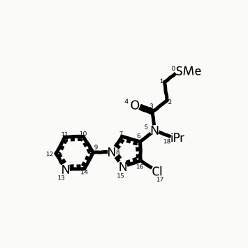 CSCCC(=O)N(c1cn(-c2cccnc2)nc1Cl)C(C)C